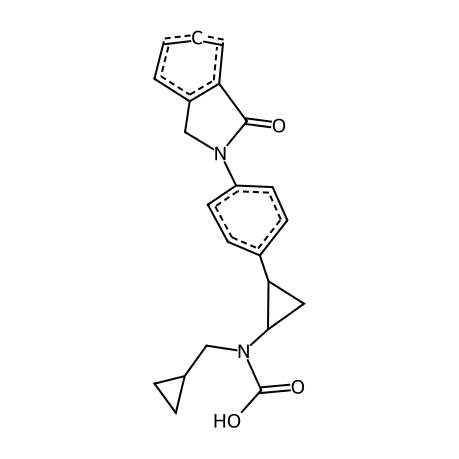 O=C1c2ccccc2CN1c1ccc(C2CC2N(CC2CC2)C(=O)O)cc1